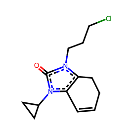 O=c1n(CCCCl)c2c(n1C1CC1)C=CCC2